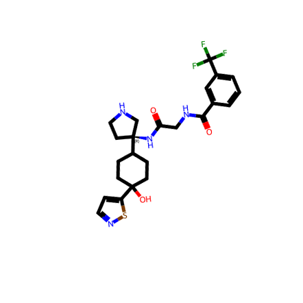 O=C(CNC(=O)c1cccc(C(F)(F)F)c1)N[C@@]1(C2CCC(O)(c3ccns3)CC2)CCNC1